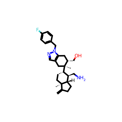 C=C1CC[C@H]2[C@H](CN)[C@@H]([C@@]3(C)Cc4cnn(Cc5ccc(F)cc5)c4C[C@@H]3CO)CC[C@]12C